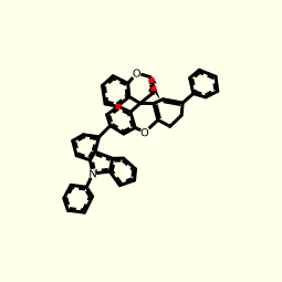 C1=C(c2ccccc2)CCC2=C1C1(c3ccc(-c4cccc5c4c4ccccc4n5-c4ccccc4)cc3O2)c2ccccc2Oc2ccccc21